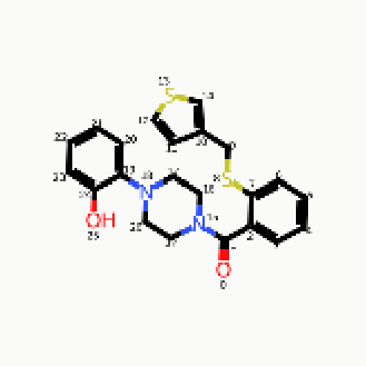 O=C(c1ccccc1SCc1ccsc1)N1CCN(c2ccccc2O)CC1